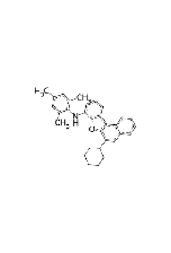 Cc1cc(C)c(Nc2cccc3c2oc2c(C4CCCCC4)cc4ccccc4c23)c(C)c1